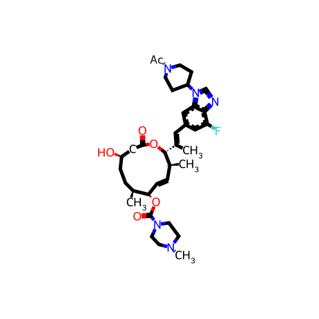 CC(=O)N1CCC(n2cnc3c(F)cc(/C=C(\C)[C@H]4OC(=O)C[C@H](O)CC[C@H](C)[C@@H](OC(=O)N5CCN(C)CC5)/C=C/[C@@H]4C)cc32)CC1